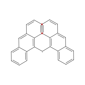 [CH](c1c2ccccc2cc2ccccc12)c1c2ccccc2cc2ccccc12